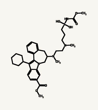 COC(=O)NS(O)(O)CCCN(C)CCN(C)C1Cc2ccccc2-c2c(C3CCCCC3)c3ccc(C(=O)OC)cc3n2C1